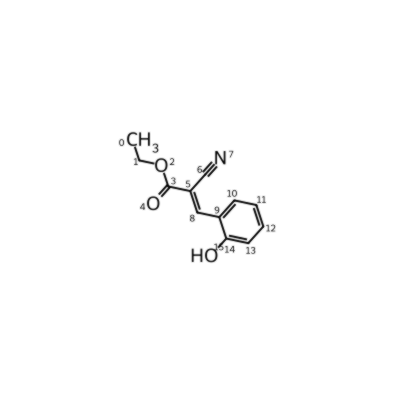 CCOC(=O)/C(C#N)=C/c1ccccc1O